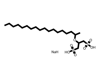 CCCCCCCCCCCCCCCCC(C)OC(CS(=O)(=O)O)CS(=O)(=O)O.[NaH]